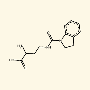 NC(CCNC(=O)N1CCc2ccccc21)C(=O)O